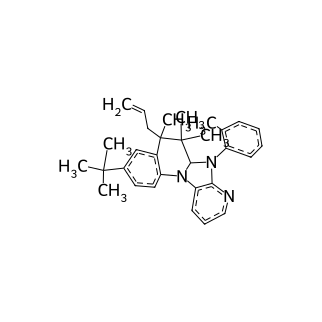 C=CCC1(C)c2cc(C(C)(C)C)ccc2N2c3cccnc3N(c3ccccc3C)C2C1(C)C